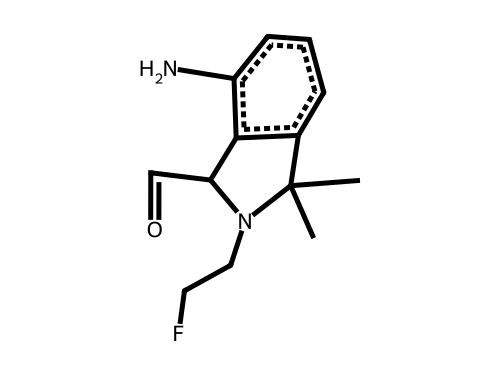 CC1(C)c2cccc(N)c2C(C=O)N1CCF